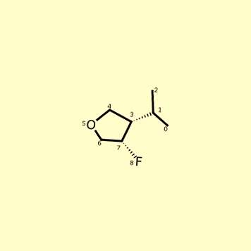 CC(C)[C@H]1COC[C@H]1F